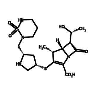 C[C@@H](O)[C@H]1C(=O)N2C(C(=O)O)=C(S[C@@H]3CN[C@H](CN4CCCNS4(=O)=O)C3)[C@H](C)[C@H]12